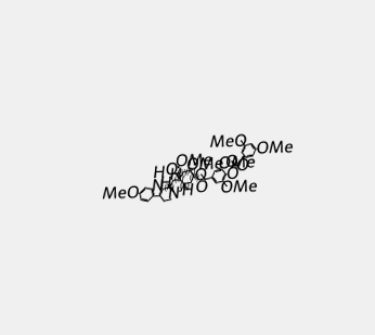 COC(=O)[C@H]1[C@H]2C[C@@H]3c4[nH]c5cc(OC)ccc5c4CCN3C[C@H]2C[C@@H](OC(=O)c2cc(OC)c(OC(=O)Oc3cc(OC)cc(OC)c3)c(OC)c2)[C@@H]1OC